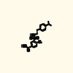 COc1ccc(C(=O)O)cc1S(=O)(=O)NCCc1ccc(C(C)C)cc1